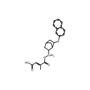 CC(=CC(=O)O)C(=O)[O][GeH2][CH]1CC2CC(Sc3ccc4ccccc4c3)C1C2